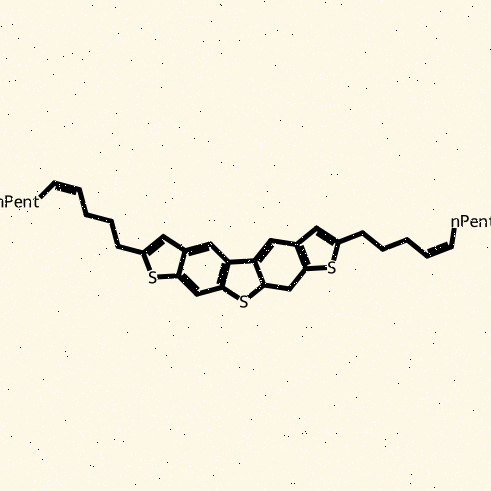 CCCCC/C=C\CCCc1cc2c(s1)CC1Sc3cc4sc(CCC/C=C\CCCCC)cc4cc3C1=C2